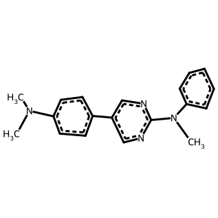 CN(C)c1ccc(-c2cnc(N(C)c3ccccc3)nc2)cc1